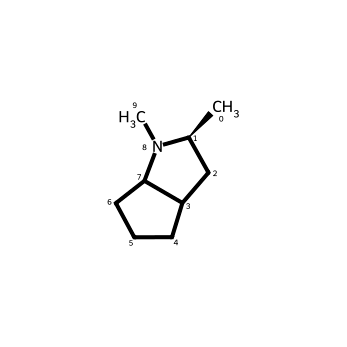 C[C@H]1CC2CCCC2N1C